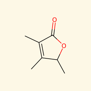 CC1=C(C)C(C)OC1=O